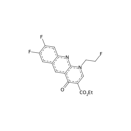 CCOC(=O)c1cn(CCF)c2nc3cc(F)c(F)cc3cc2c1=O